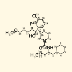 CNCC(CC1CCCCC1)NC(=O)N1CCC[C@@H](C(O)(CCCCOC)c2cccc(Cl)c2F)C1